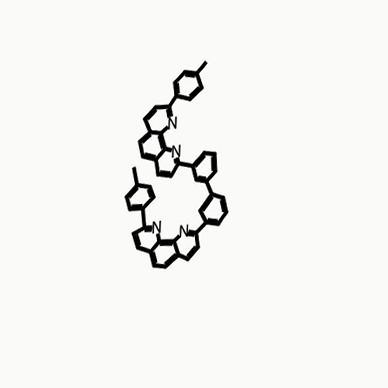 Cc1ccc(-c2ccc3ccc4ccc(-c5cccc(-c6cccc(-c7ccc8ccc9ccc(-c%10ccc(C)cc%10)nc9c8n7)c6)c5)nc4c3n2)cc1